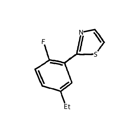 CCc1ccc(F)c(-c2nccs2)c1